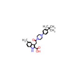 Cc1ccc2[nH]c(C(=O)O)c(CC(=O)N3CCN(c4ccc(C(C)(C)C)cc4)CC3)c2c1